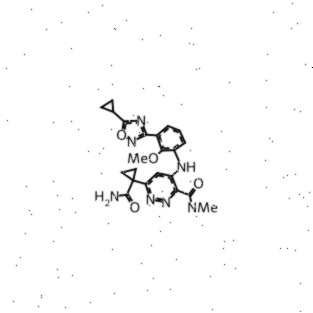 CNC(=O)c1nnc(C2(C(N)=O)CC2)cc1Nc1cccc(-c2noc(C3CC3)n2)c1OC